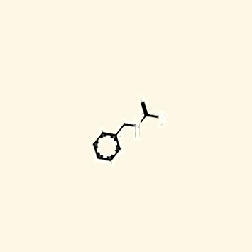 C=C(NCc1ccccc1)C(C)C